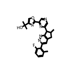 Cc1cccc(F)c1-c1cc2c(nn1)C(c1cncc(-c3nc(C(C)(C)O)co3)n1)C(C)C2